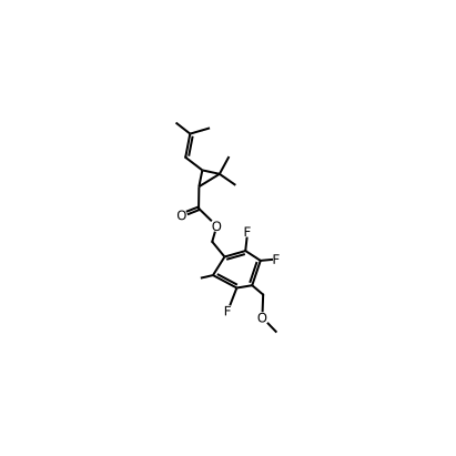 COCc1c(F)c(C)c(COC(=O)C2C(C=C(C)C)C2(C)C)c(F)c1F